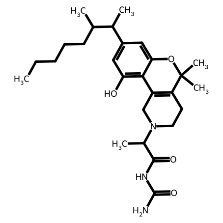 CCCCCC(C)C(C)c1cc(O)c2c(c1)OC(C)(C)C1=C2CN(C(C)C(=O)NC(N)=O)CC1